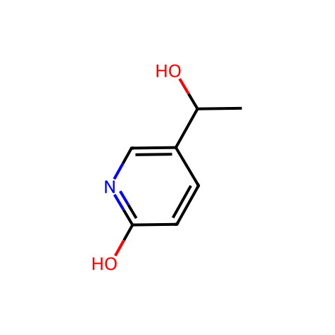 CC(O)c1ccc(O)nc1